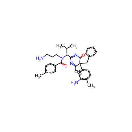 CC1=NC(C(C(C)C)N(CCCN)C(=O)c2ccc(C)cc2)=NC(=O)C1(Cc1ccccc1)c1ccc(C)c(N)c1